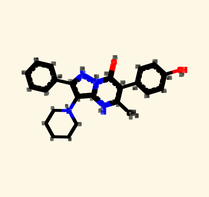 Cc1[nH]c2c(N3CCCCC3)c(-c3ccccc3)nn2c(=O)c1-c1ccc(O)cc1